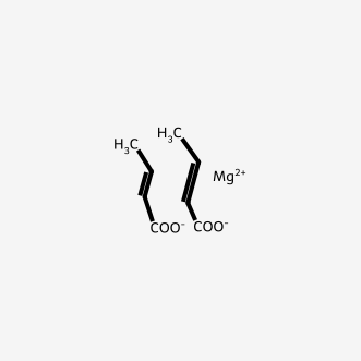 CC=CC(=O)[O-].CC=CC(=O)[O-].[Mg+2]